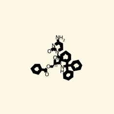 Nc1ccn([C@H]2C[C@H](NC(c3ccccc3)(c3ccccc3)c3ccccc3)[C@@H](COC(=O)c3ccccc3)O2)c(=O)n1